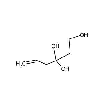 C=CCC(O)(O)CCO